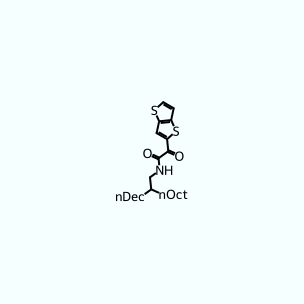 CCCCCCCCCCC(CCCCCCCC)CNC(=O)C(=O)c1cc2sccc2s1